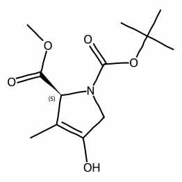 COC(=O)[C@@H]1C(C)=C(O)CN1C(=O)OC(C)(C)C